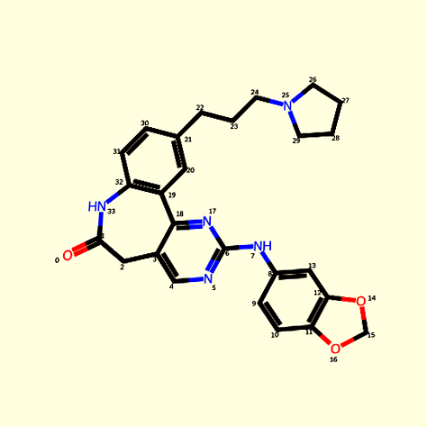 O=C1Cc2cnc(Nc3ccc4c(c3)OCO4)nc2-c2cc(CCCN3CCCC3)ccc2N1